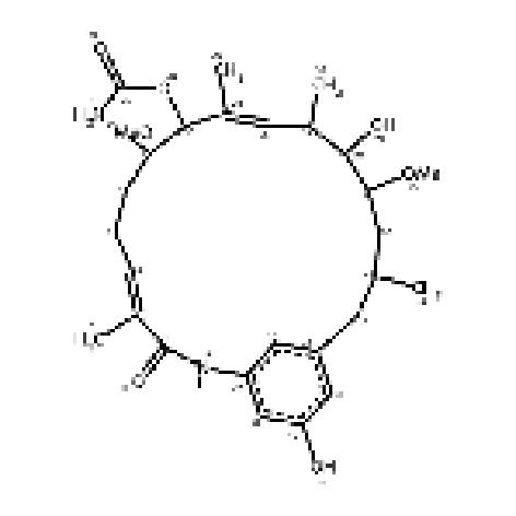 COC1CC/C=C(\C)C(=O)Nc2cc(O)cc(c2)CC(C)CC(OC)C(O)C(C)/C=C(\C)C1OC(N)=O